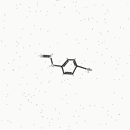 CC(C)(C)c1ccc(OP=O)cc1